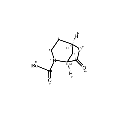 CC(C)(C)C(=O)N1CC[C@@H]2C[C@H]1C(=O)O2